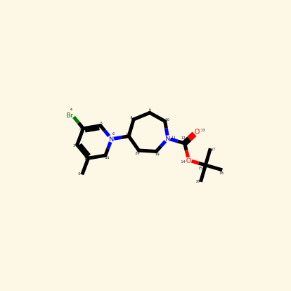 CC1=CC(Br)=CN(C2CCCN(C(=O)OC(C)(C)C)CC2)C1